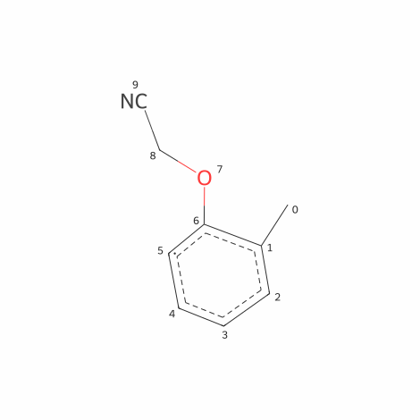 Cc1ccc[c]c1OCC#N